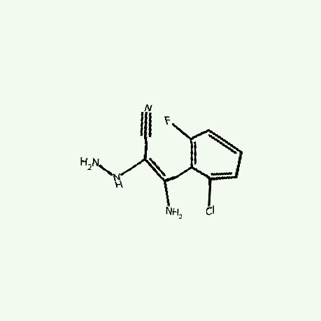 N#C/C(NN)=C(/N)c1c(F)cccc1Cl